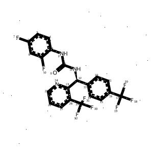 O=C(Nc1ccc(F)cc1F)N[C@@H](c1ccc(C(F)(F)F)cc1)c1ncccc1C(F)(F)F